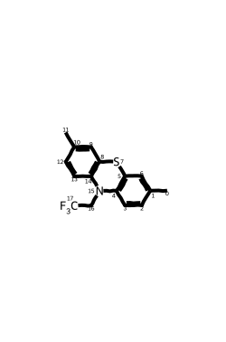 Cc1ccc2c(c1)Sc1cc(C)ccc1N2CC(F)(F)F